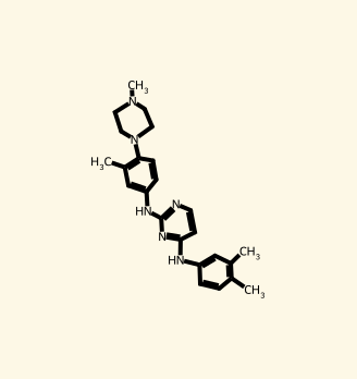 Cc1ccc(Nc2ccnc(Nc3ccc(N4CCN(C)CC4)c(C)c3)n2)cc1C